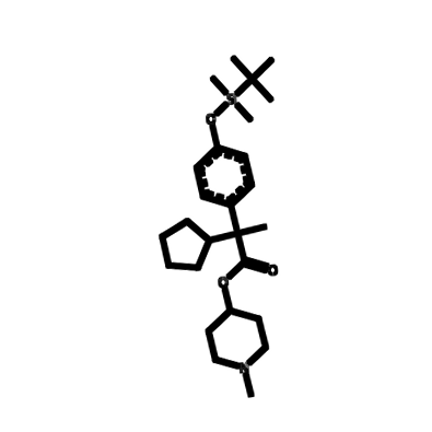 CN1CCC(OC(=O)C(C)(c2ccc(O[Si](C)(C)C(C)(C)C)cc2)C2CCCC2)CC1